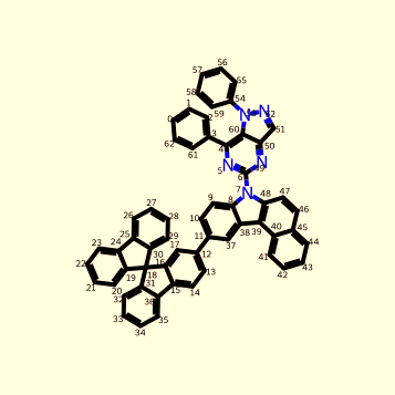 c1ccc(-c2nc(-n3c4ccc(-c5ccc6c(c5)C5(c7ccccc7-c7ccccc75)c5ccccc5-6)cc4c4c5ccccc5ccc43)nc3cnn(-c4ccccc4)c23)cc1